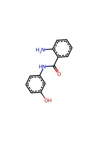 Nc1ccccc1C(=O)Nc1cccc(O)c1